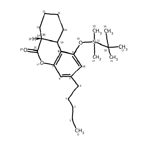 CCCCCc1cc2c(c(O[Si](C)(C)C(C)(C)C)c1)C1CCCC[C@H]1C(=O)O2